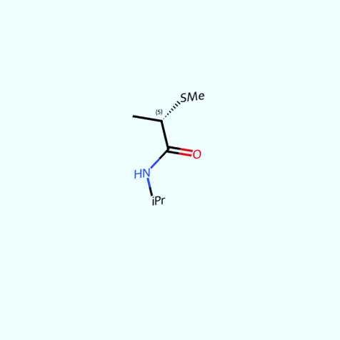 CS[C@@H](C)C(=O)NC(C)C